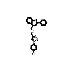 Clc1ccc(-n2cc(COCc3cc(-c4ccccc4)nc4ccccc34)nn2)cc1